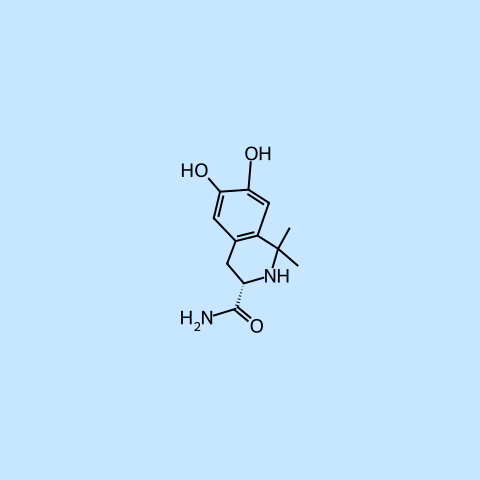 CC1(C)N[C@H](C(N)=O)Cc2cc(O)c(O)cc21